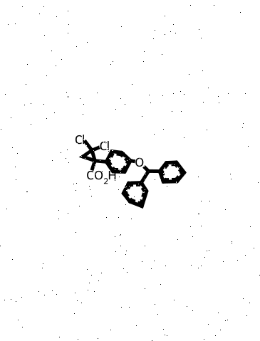 O=C(O)C1(c2ccc(OC(c3ccccc3)c3ccccc3)cc2)CC1(Cl)Cl